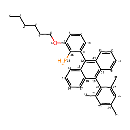 CCCCCCOc1cccc(-c2c3ccccc3c(-c3c(C)cc(C)cc3C)c3ccccc23)c1P